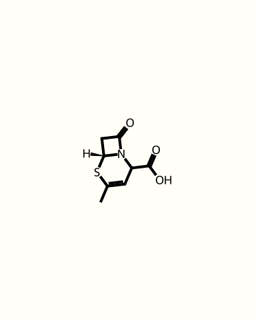 CC1=CC(C(=O)O)N2C(=O)C[C@H]2S1